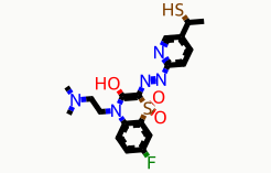 CC(S)c1ccc(N=NC2=C(O)N(CCN(C)C)c3ccc(F)cc3S2(=O)=O)nc1